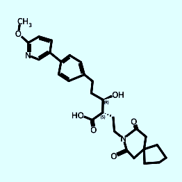 COc1ccc(-c2ccc(CC[C@@H](O)[C@H](CCN3C(=O)CC4(CCCC4)CC3=O)C(=O)O)cc2)cn1